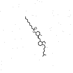 CCCCCCCCC(=O)O[C@H]1CC[C@@H](C)/C(=C\CC2CCC[C@@]3(C)C2CC[C@@H]3[C@H](C)CCCC(C)C)C1